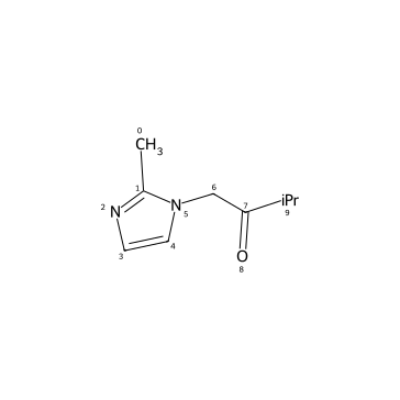 Cc1nccn1CC(=O)C(C)C